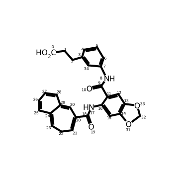 O=C(O)CCc1cccc(NC(=O)c2cc3c(cc2NC(=O)C2=CCC=c4ccccc4=C2)OCO3)c1